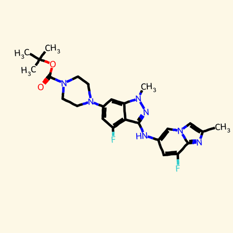 Cc1cn2cc(Nc3nn(C)c4cc(N5CCN(C(=O)OC(C)(C)C)CC5)cc(F)c34)cc(F)c2n1